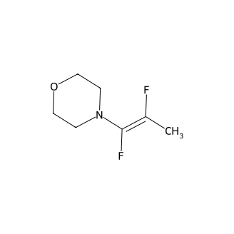 C/C(F)=C(\F)N1CCOCC1